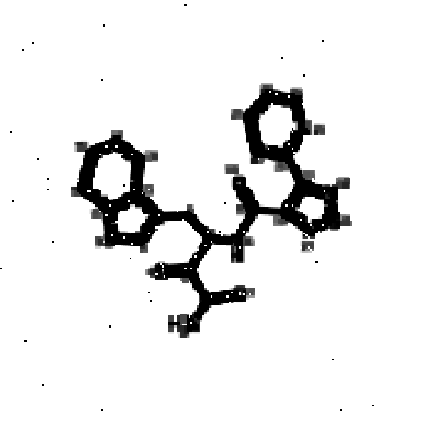 NC(=O)C(=O)C(Cc1csc2ccccc12)NC(=O)c1nsnc1-c1ccccn1